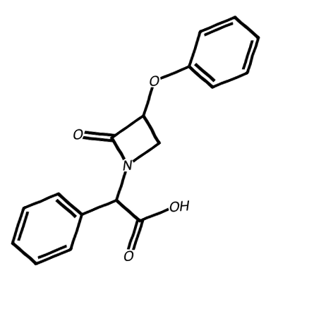 O=C(O)C(c1ccccc1)N1CC(Oc2ccccc2)C1=O